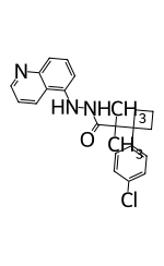 CC(C)(C(=O)NNc1cccc2ncccc12)C1(c2ccc(Cl)cc2)CCC1